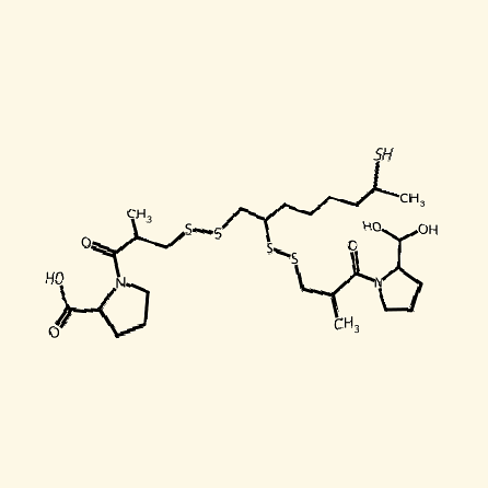 CC(S)CCCCC(CSSCC(C)C(=O)N1CCCC1C(=O)O)SSCC(C)C(=O)N1CCCC1C(O)O